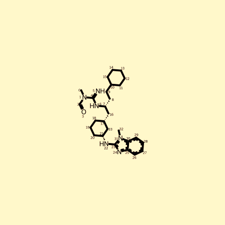 CN(C=O)C(=N)N[C@H](CCC1CCCCC1)C[C@H]1CCC[C@@H](Nc2nc3ccccc3n2C)C1